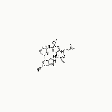 C=CC(=O)Nc1cc(Nc2nccc(-c3cc(C#N)cc4c3cnn4C)n2)c(OC)cc1N(C)CCN(C)C